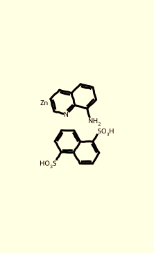 Nc1cccc2cccnc12.O=S(=O)(O)c1cccc2c(S(=O)(=O)O)cccc12.[Zn]